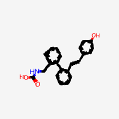 O=C(O)NCc1ccccc1-c1ccccc1/C=C/c1ccc(O)cc1